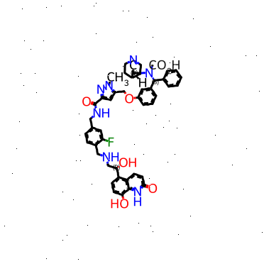 Cn1nc(C(=O)NCc2ccc(CNC[C@H](O)c3ccc(O)c4[nH]c(=O)ccc34)c(F)c2)cc1COc1cccc([C@H](c2ccccc2)N(C(=O)O)[C@H]2CN3CCC2CC3)c1